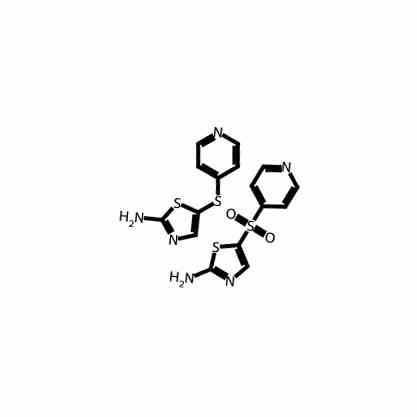 Nc1ncc(S(=O)(=O)c2ccncc2)s1.Nc1ncc(Sc2ccncc2)s1